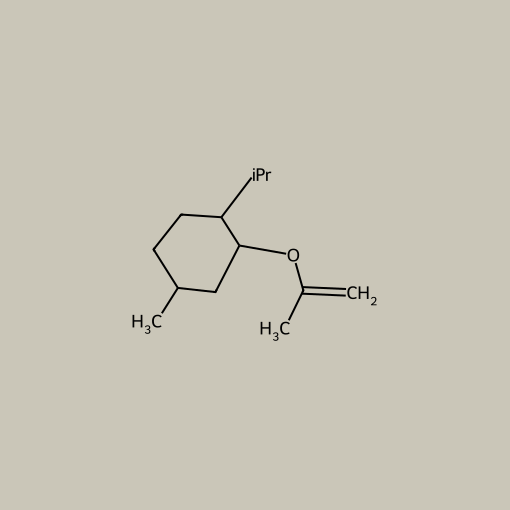 C=C(C)OC1CC(C)CCC1C(C)C